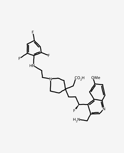 COc1ccc2ncc(CN)c([C@@H](F)CCC3(CC(=O)O)CCN(CCNc4c(F)cc(F)cc4F)CC3)c2c1